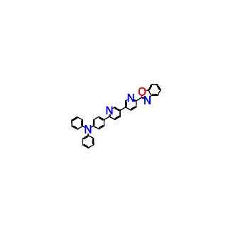 c1ccc(N(c2ccccc2)c2ccc(-c3ccc(-c4ccc(-c5nc6ccccc6o5)nc4)cn3)cc2)cc1